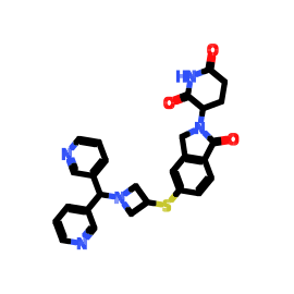 O=C1CCC(N2Cc3cc(SC4CN(C(c5cccnc5)c5cccnc5)C4)ccc3C2=O)C(=O)N1